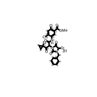 CCOC1C(=O)N(C(C(=O)Nc2cc(C(=O)OC)c(Cl)cc2Cl)C(=O)C2(CC)CC2)C(=O)N1Cc1ccccc1